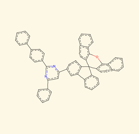 c1ccc(-c2ccc(-c3nc(-c4ccccc4)cc(-c4ccc5c(c4)-c4ccccc4C54c5ccc6ccccc6c5Oc5c4ccc4ccccc54)n3)cc2)cc1